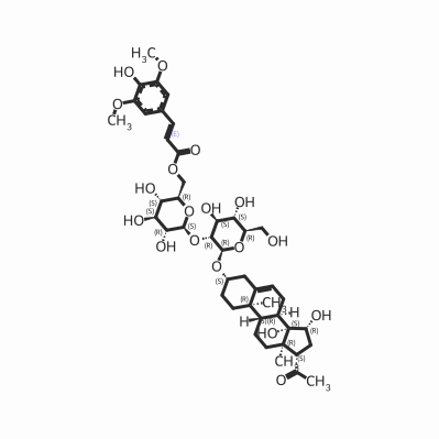 COc1cc(/C=C/C(=O)OC[C@H]2O[C@@H](O[C@H]3[C@H](O[C@H]4CC[C@@]5(C)C(=CC[C@@H]6[C@@H]5CC[C@]5(C)[C@@H](C(C)=O)C[C@@H](O)[C@]65O)C4)O[C@H](CO)[C@@H](O)[C@@H]3O)[C@H](O)[C@@H](O)[C@@H]2O)cc(OC)c1O